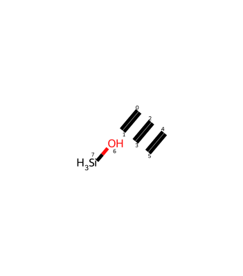 C=C.C=C.C=C.O[SiH3]